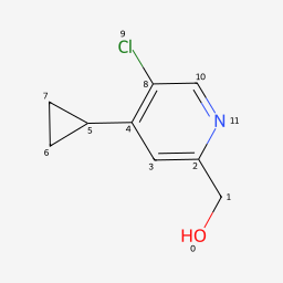 OCc1cc(C2CC2)c(Cl)cn1